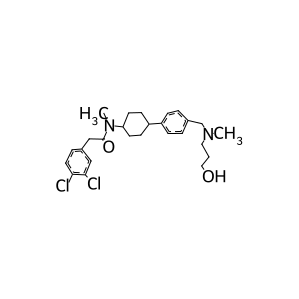 CN(CCCO)Cc1ccc(C2CCC(N(C)C(=O)Cc3ccc(Cl)c(Cl)c3)CC2)cc1